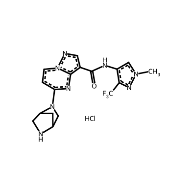 Cl.Cn1cc(NC(=O)c2cnn3ccc(N4CC5CC4CN5)nc23)c(C(F)(F)F)n1